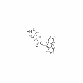 O=C(OCC1c2ccccc2-c2ccccc21)N1CC2CCNCC2C1